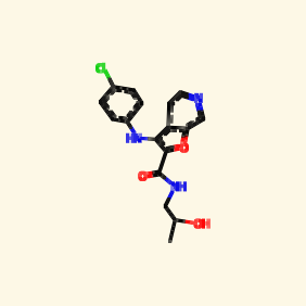 CC(O)CNC(=O)c1oc2cnccc2c1Nc1ccc(Cl)cc1